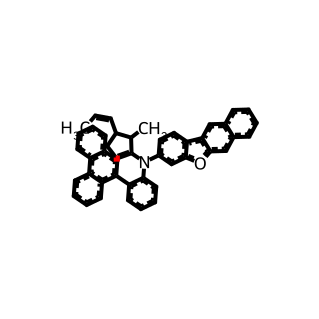 C/C=C\C1CC=C(N(c2ccc3c(c2)oc2cc4ccccc4cc23)c2ccccc2-c2cc3ccccc3c3ccccc23)C1C